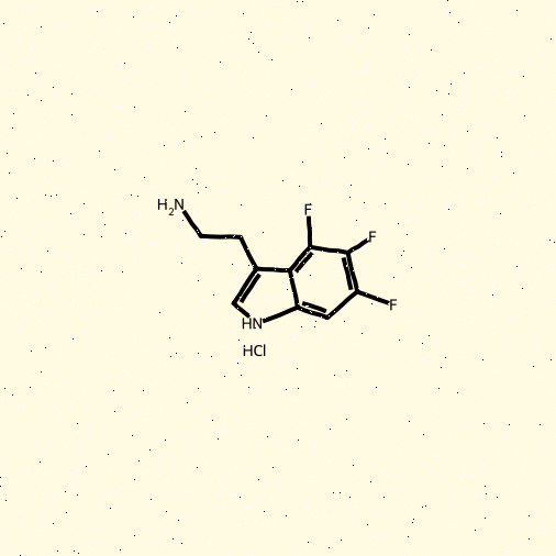 Cl.NCCc1c[nH]c2cc(F)c(F)c(F)c12